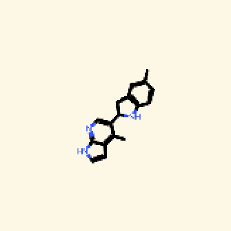 Cc1ccc2c(c1)CC(c1cnc3[nH]ccc3c1C)N2